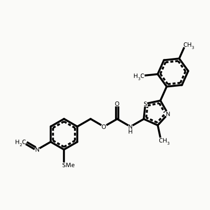 C=Nc1ccc(COC(=O)Nc2sc(-c3ccc(C)cc3C)nc2C)cc1SC